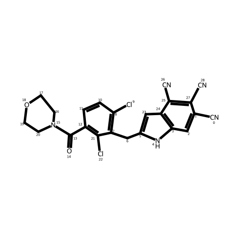 N#Cc1cc2[nH]c(Cc3c(Cl)ccc(C(=O)N4CCOCC4)c3Cl)cc2c(C#N)c1C#N